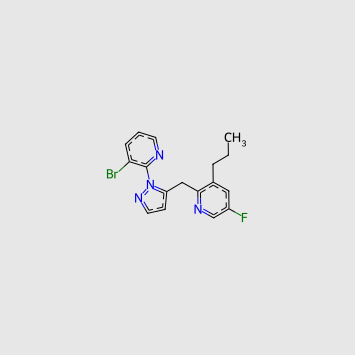 CCCc1cc(F)cnc1Cc1ccnn1-c1ncccc1Br